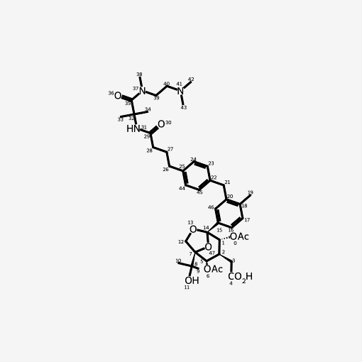 CC(=O)O[C@@H]1[C@@H](CC(=O)O)[C@H](OC(C)=O)[C@]2(C(C)(C)O)CO[C@@]1(c1ccc(C)c(Cc3ccc(CCCC(=O)NC(C)(C)C(=O)N(C)CCN(C)C)cc3)c1)O2